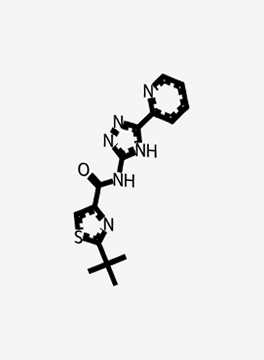 CC(C)(C)c1nc(C(=O)Nc2nnc(-c3ccccn3)[nH]2)cs1